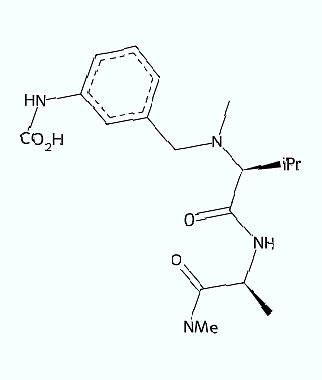 CNC(=O)[C@H](C)NC(=O)[C@H](C(C)C)N(C)Cc1cccc(NC(=O)O)c1